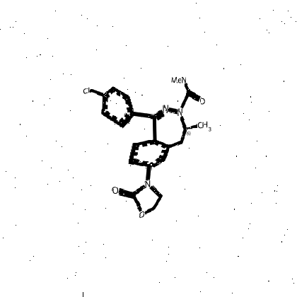 CNC(=O)N1N=C(c2ccc(Cl)cc2)c2ccc(N3CCOC3=O)cc2C[C@@H]1C